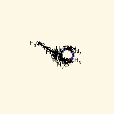 CCOCCOCCOCCOCCNC(=O)O[C@@H]1CC[C@@H](C[C@@H](C)C2C[C@@H](O)[C@H](C)/C=C(\C)[C@@H](O)[C@@H](O)C(=O)[C@H](C)C[C@H](C)/C=C/C=C/C=C(\C)[C@@H](OC)C[C@@H]3CC[C@@H](C)C(=O)C(O)(O3)C(=O)N(CC)[C@@H](CC)C(=O)O2)C[C@H]1OC